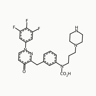 O=C(O)N(CCCN1CCNCC1)c1cccc(Cc2nn(-c3cc(F)c(F)c(F)c3)ccc2=O)c1